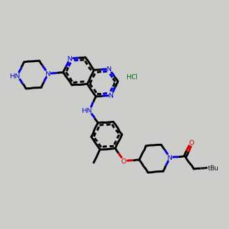 Cc1cc(Nc2ncnc3cnc(N4CCNCC4)cc23)ccc1OC1CCN(C(=O)CC(C)(C)C)CC1.Cl